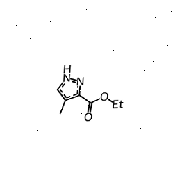 CCOC(=O)c1n[nH]cc1C